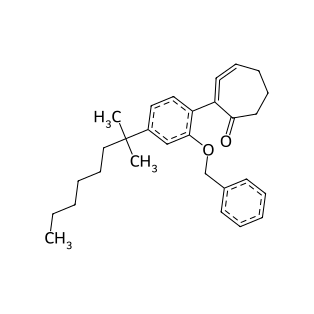 CCCCCCC(C)(C)c1ccc(C2=C=CCCCC2=O)c(OCc2ccccc2)c1